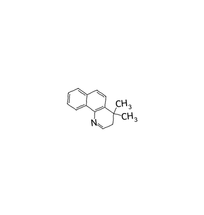 CC1(C)CC=Nc2c1ccc1ccccc21